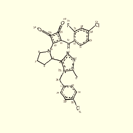 Cc1nnc(C2CCCN2c2c(Nc3ccc(Cl)cc3F)c(=O)c2=O)n1Cc1ccc(Cl)cc1